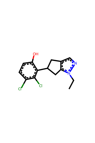 CCn1ncc2c1CC(c1c(O)ccc(Cl)c1Cl)C2